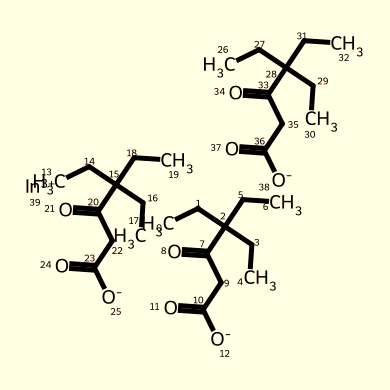 CCC(CC)(CC)C(=O)CC(=O)[O-].CCC(CC)(CC)C(=O)CC(=O)[O-].CCC(CC)(CC)C(=O)CC(=O)[O-].[In+3]